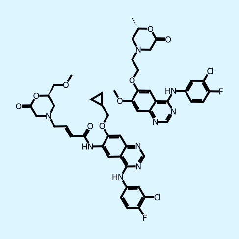 COC[C@H]1CN(CC=CC(=O)Nc2cc3c(Nc4ccc(F)c(Cl)c4)ncnc3cc2OCC2CC2)CC(=O)O1.COc1cc2ncnc(Nc3ccc(F)c(Cl)c3)c2cc1OCCN1CC(=O)O[C@@H](C)C1